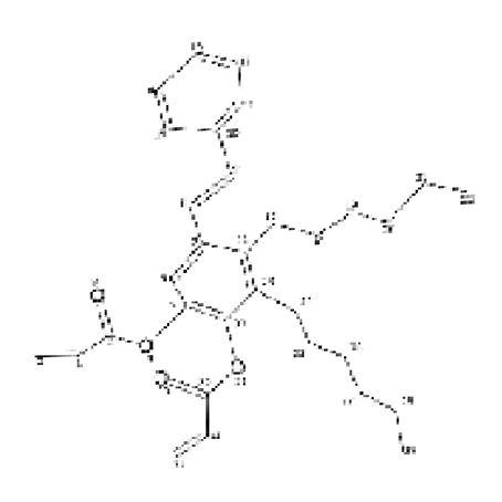 C=CC(=O)Oc1cc(C=Cc2ccccc2)c(CCCCCC)c(CCCCCC)c1OC(=O)C=C